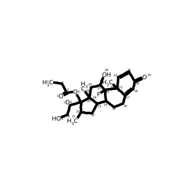 CCC(=O)OC1(C(=O)CO)C(C)CC2C3CCC4=CC(=O)C=CC4(C)C3(F)C(O)CC21C